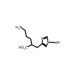 CCCn1cnc(CC(CCCN)C(=O)O)c1